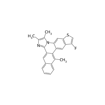 Cc1nc2c3cc4ccccc4c(C)c3c3cc4c(F)csc4cc3n2c1C